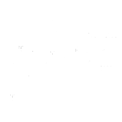 Cc1ccc[n+](C)c1.Cc1ccc[n+](C)c1.Cc1ccc[n+](C)c1.O=C([O-])CC(O)(CC(=O)[O-])C(=O)[O-]